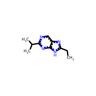 CCc1nc2cnc(C(C)C)nc2[nH]1